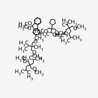 COC1(OC)c2ccccc2-c2ccccc21.COCC(C)(COC)C(C)C.COCC(CCC(C)C)(COC)C(C)C.COCC(COC)(C(C)C)C1CCCC1.COCC(COC)(CC(C)C)CC(C)C